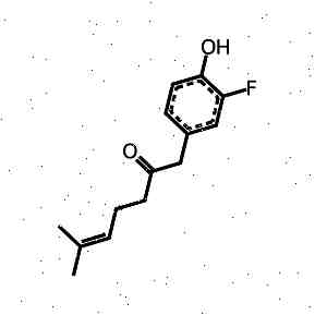 CC(C)=CCCC(=O)Cc1ccc(O)c(F)c1